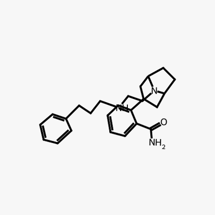 NC(=O)c1ccccc1C1CC2CCC(C1)N2CCNCCCc1ccccc1